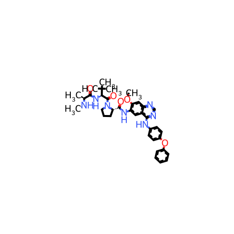 CN[C@@H](C)C(=O)N[C@H](C(=O)N1CCC[C@H]1C(=O)Nc1cc2c(Nc3ccc(Oc4ccccc4)cc3)ncnc2cc1OC)C(C)(C)C